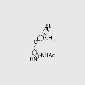 CCN1CCC(C)(c2ccc(OCCc3ccc4[nH]cc(NC(C)=O)c4c3)cc2)CC1